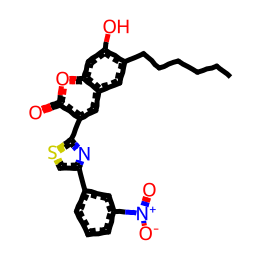 CCCCCCc1cc2cc(-c3nc(-c4cccc([N+](=O)[O-])c4)cs3)c(=O)oc2cc1O